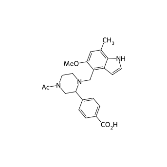 COc1cc(C)c2[nH]ccc2c1CN1CCN(C(C)=O)CC1c1ccc(C(=O)O)cc1